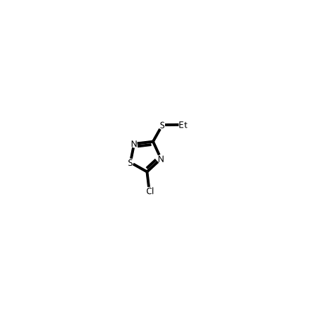 CCSc1nsc(Cl)n1